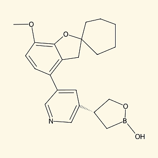 COc1ccc(-c2cncc([C@@H]3COB(O)C3)c2)c2c1OC1(CCCCC1)C2